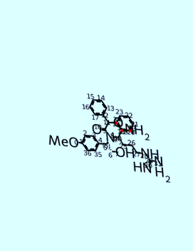 COc1ccc([C@@H](CO)N(C(=O)C(c2ccccc2)c2ccccc2)[C@H](CCCNC(=N)N)C(N)=O)cc1